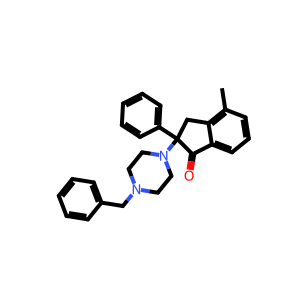 Cc1cccc2c1CC(c1ccccc1)(N1CCN(Cc3ccccc3)CC1)C2=O